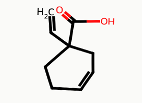 C=CC1(C(=O)O)CC=CCC1